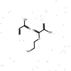 C=C(O)C(=O)OCCO.C=CC(=O)O